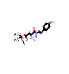 CC(C)(C)OC(=O)C[C@@H](N)C(=O)NCCc1ccc(O)cc1